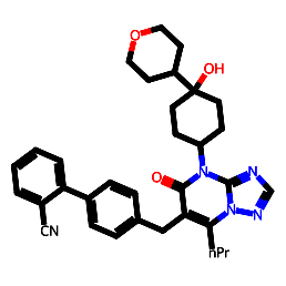 CCCc1c(Cc2ccc(-c3ccccc3C#N)cc2)c(=O)n(C2CCC(O)(C3CCOCC3)CC2)c2ncnn12